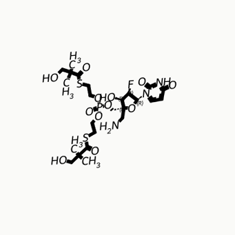 CC(C)(CO)C(=O)SCCOP(=O)(OCCSC(=O)C(C)(C)CO)OC[C@@]1(CN)O[C@@H](n2ccc(=O)[nH]c2=O)[C@H](F)[C@@H]1O